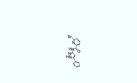 O=C(Nc1cc(-c2cccs2)[nH]n1)c1cccc(Br)n1